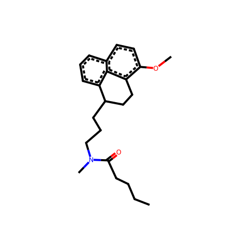 CCCCC(=O)N(C)CCCC1CCc2c(OC)ccc3cccc1c23